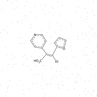 CC/C(=C(\C(=O)O)c1ccncc1)c1ccco1